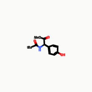 COC(=O)[C@H](NC(=O)C(C)(C)C)c1ccc(O)cc1